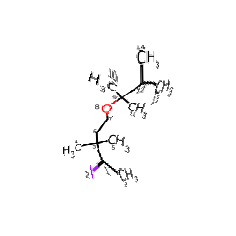 CC(I)C(C)(C)CCOC(C)(C)C(C)C